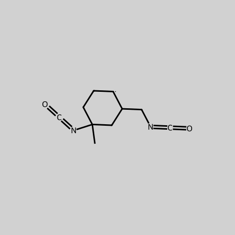 CC1(N=C=O)CC[CH]C(CN=C=O)C1